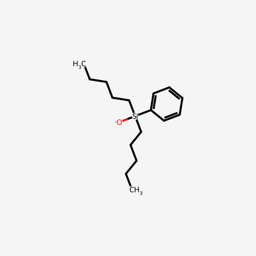 CCCCC[Si]([O])(CCCCC)c1ccccc1